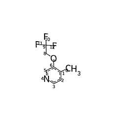 Cc1ccn[c]c1OCC(F)(F)F